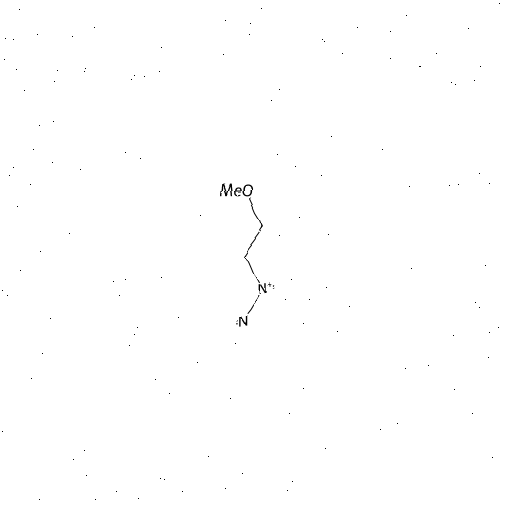 COCC[N+][N]